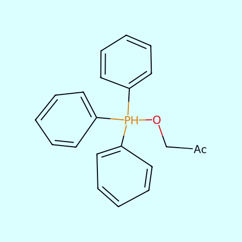 CC(=O)CO[PH](c1ccccc1)(c1ccccc1)c1ccccc1